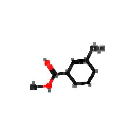 CC(C)OC(=O)C1C=C(C(=O)O)CCC1